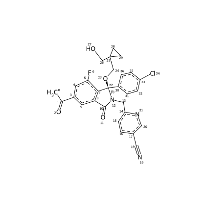 CC(=O)c1cc(F)c2c(c1)C(=O)N(Cc1ccc(C#N)cn1)[C@@]2(OCC1(CO)CC1)c1ccc(Cl)cc1